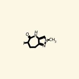 Cn1cc2c(n1)CCC(I)C(=O)N2